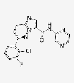 O=C(Nc1cnccn1)c1cnc2ccc(-c3cccc(F)c3Cl)nn12